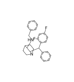 Fc1ccc(C(c2ccccc2)C2C(NCc3ccccc3)C3CCN2CC3)c(F)c1